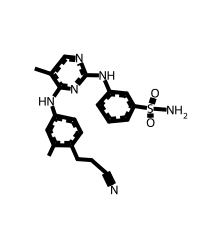 Cc1cc(Nc2nc(Nc3cccc(S(N)(=O)=O)c3)ncc2C)ccc1CCC#N